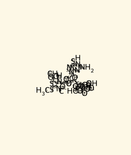 [C-]#[N+]c1c(SC)sc(C(=O)OC)c1NC(=O)[C@@H]1OC2C(COP(=O)(O)OP(=O)(O)OP(=O)(O)O)OC(n3cnc4c(=S)[nH]c(N)nc43)C2O1